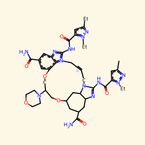 CCc1cc(C(=O)Nc2nc3cc(C(N)=O)cc4c3n2C/C=C/CN2C(NC(=O)c3cc(C)nn3CC)=NC3CC(C(N)=O)CC(CC32)OCC(N2CCOCC2)CO4)n(CC)n1